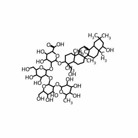 CC1OC(OC2C(OC3C(OC4C(OC5CCC6(C)C(CCC7(C)C6CC=C6C8CC(C)(C)CC(O)C8(C)CCC67C)C5(C)CO)OC(C(=O)O)C(O)C4O)OC(CO)C(O)C3O)OC(CO)C(O)C2O)C(O)C(O)C1O